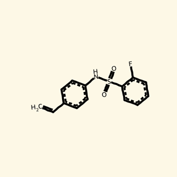 C=Cc1ccc(NS(=O)(=O)c2ccccc2F)cc1